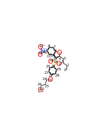 CCCCc1oc2ccc([N+](=O)[O-])cc2c1S(=O)(=O)c1ccc(OCCCBr)cc1